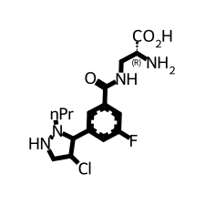 CCCN1NCC(Cl)C1c1cc(F)cc(C(=O)NC[C@@H](N)C(=O)O)c1